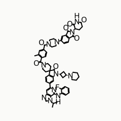 Cc1cc(C(=O)N2CCN(c3ccc4c(c3)C(=O)N(C3CCC(=O)NC3=O)C4=O)CC2)ccc1C(=O)N1CCC2(CC1)C(=O)N([C@H]1C[C@@H](N3CCCCC3)C1)c1cc(-c3cc4ncn(C(C)C)c4c(Nc4ccccc4F)n3)ccc12